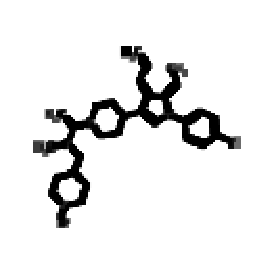 C=C/C=c1/c(C2CCN(C(=C)N(C)CC3CCN(C(C)C)CC3)CC2)cn(-c2ccc(Cl)cc2)/c1=C/C